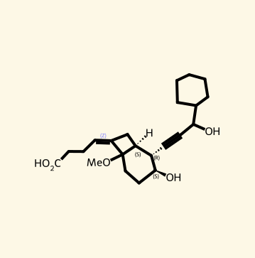 COC12CC[C@H](O)[C@@H](C#CC(O)C3CCCCC3)[C@@H]1C/C2=C/CCC(=O)O